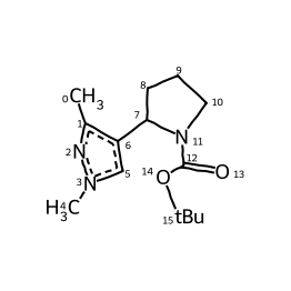 Cc1nn(C)cc1C1CCCN1C(=O)OC(C)(C)C